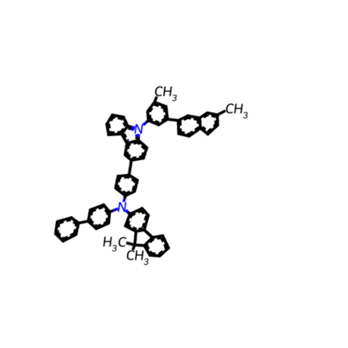 Cc1cc(-c2ccc3ccc(C)cc3c2)cc(-n2c3ccccc3c3cc(-c4ccc(N(c5ccc(-c6ccccc6)cc5)c5ccc6c(c5)C(C)(C)c5ccccc5-6)cc4)ccc32)c1